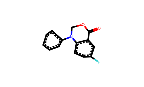 O=C1OCN(c2ccccc2)c2ccc(F)cc21